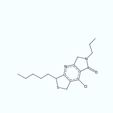 CCCCCC1SCc2c1nc1c(c2Cl)C(=O)N(CCC)C1